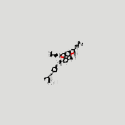 CN(C)C(=O)C1CN(c2ccc3c(c2)Oc2cc(N4CC(C(=O)N(C)C)C4)ccc2C32C(=[N+]=[N-])C(=O)c3ccc(C(=O)NCc4ccc(COc5ccnc(N)n5)cc4)cc32)C1